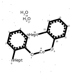 CCCCCCCc1ccccc1[O][Co][O]c1ccccc1CCCCCCC.O.O